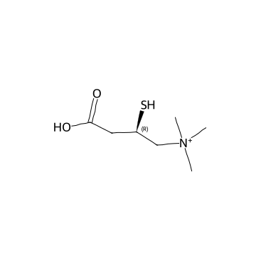 C[N+](C)(C)C[C@H](S)CC(=O)O